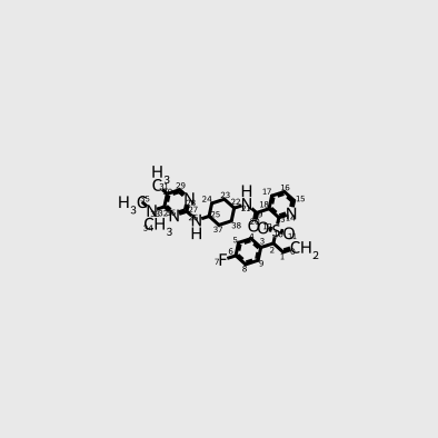 C=CC(c1ccc(F)cc1)S(=O)(=O)c1ncccc1C(=O)NC1CCC(Nc2ncc(C)c(N(C)C)n2)CC1